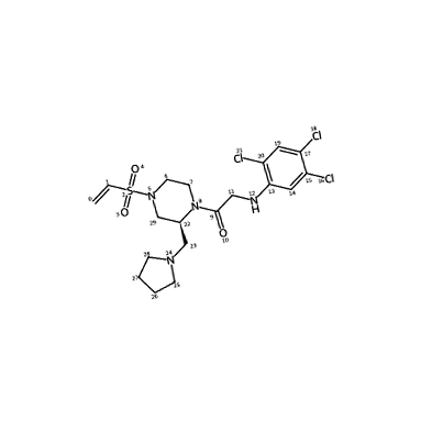 C=CS(=O)(=O)N1CCN(C(=O)CNc2cc(Cl)c(Cl)cc2Cl)[C@@H](CN2CCCC2)C1